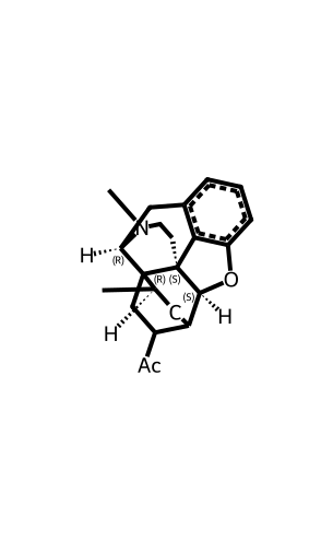 CC(=O)C1CC23[C@H](C)CC1[C@@H]1Oc4cccc5c4[C@@]12CCN(C)[C@@H]3C5